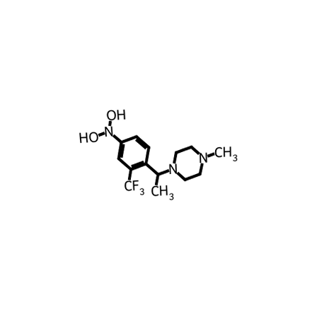 CC(c1ccc(N(O)O)cc1C(F)(F)F)N1CCN(C)CC1